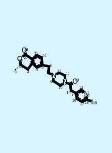 C[C@H]1Cc2cc(CCN3CCN(C(=O)Cc4ccc(I)nc4)CC3)ccc2C(=O)O1